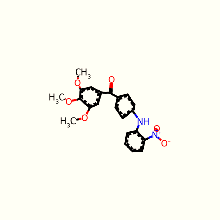 COc1cc(C(=O)c2ccc(Nc3ccccc3[N+](=O)[O-])cc2)cc(OC)c1OC